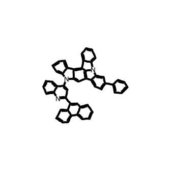 c1ccc(-c2ccc3c4cc5c(c6ccccc6n5-c5cc(-c6cc7ccccc7c7ccccc67)nc6ccccc56)c5c6ccccc6n(c3c2)c45)cc1